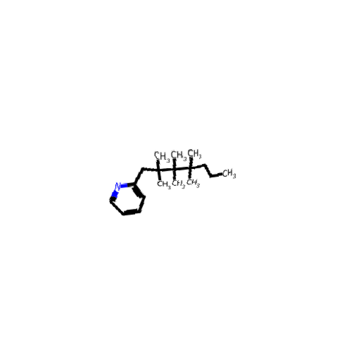 CCCC(C)(C)C(C)(C)C(C)(C)Cc1ccccn1